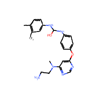 Cc1ccc(NC(O)Nc2ccc(Oc3cc(N(C)CCN)ncn3)cc2)cc1C(F)(F)F